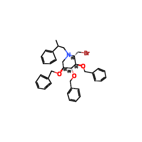 CC(CN1C[C@H](OCc2ccccc2)[C@@H](OCc2ccccc2)[C@H](OCc2ccccc2)[C@H]1CBr)c1ccccc1